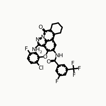 Nc1nn2c(=O)c3c(c4cc(NC(=O)c5cc(F)cc(C(F)(F)F)c5)c(Oc5cc(F)ccc5Cl)c1c42)CCCC3